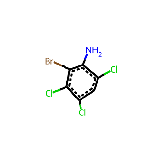 Nc1c(Cl)cc(Cl)c(Cl)c1Br